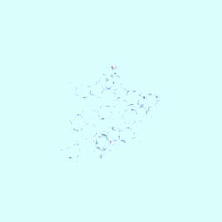 Cc1ccc2c(c1)c1cc(C)ccc1n2-c1nc(N2c3ccccc3N(c3ccccc3)c3ccccc32)c(-n2c3ccc(C)cc3c3cc(C)ccc32)c(-c2ccc3sc4ccccc4c3c2)c1-n1c2ccc(C)cc2c2cc(C)ccc21